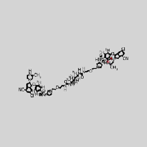 [2H]c1c([2H])c(S(=O)(=O)N[C@H]2CCN(CCOCCNC(=O)NC([2H])([2H])C([2H])([2H])C([2H])([2H])C([2H])([2H])NC(=O)NCCOCCN3CC[C@H](NS(=O)(=O)c4c([2H])c([2H])c(O[C@H]5c6cc(Cl)cc(C#N)c6C[C@@H]5N5CCN[C@H](C)C5)c([2H])c4[2H])C3)C2)c([2H])c([2H])c1O[C@H]1c2cc(Cl)cc(C#N)c2C[C@@H]1N1CCN[C@H](C)C1